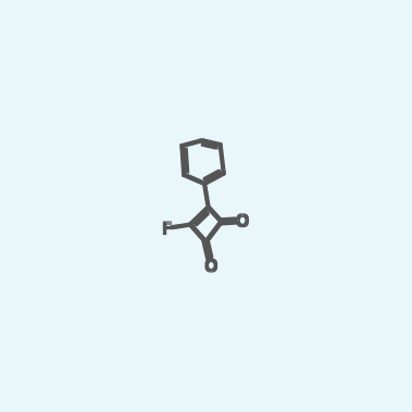 O=c1c(F)c(-c2ccccc2)c1=O